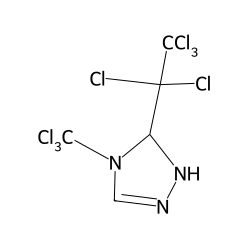 ClC(Cl)(Cl)N1C=NNC1C(Cl)(Cl)C(Cl)(Cl)Cl